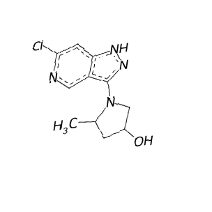 CC1CC(O)CN1c1n[nH]c2cc(Cl)ncc12